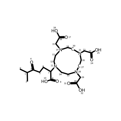 CC(C)C(=O)CCC(C(=O)O)N1CCN(CC(=O)O)CCN(CC(=O)O)CCN(CC(=O)O)CC1